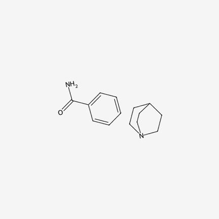 C1CN2CCC1CC2.NC(=O)c1ccccc1